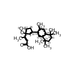 COC1(C(C)=CC(=O)O)C=C(c2cc3c(cc2C)C(C)(C)CCC3(C)C)CC1